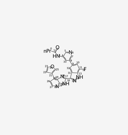 CCCC(=O)Nc1cncc(-c2cc(F)c3[nH]nc(-c4nc5c(-c6ccoc6)ccnc5[nH]4)c3c2)c1